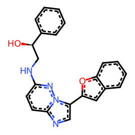 O[C@H](CNc1ccc2ncc(-c3cc4ccccc4o3)n2n1)c1ccccc1